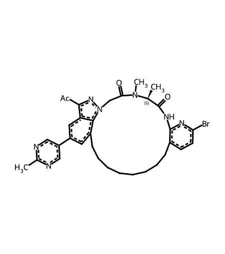 CC(=O)c1nn2c3c(cc(-c4cnc(C)nc4)cc13)CCCCCCCCc1ccc(Br)nc1NC(=O)[C@H](C)N(C)C(=O)C2